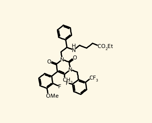 CCOC(=O)CCCNC(Cn1c(=O)c(-c2cccc(OC)c2F)c(C)n(Cc2c(F)cccc2C(F)(F)F)c1=O)c1ccccc1